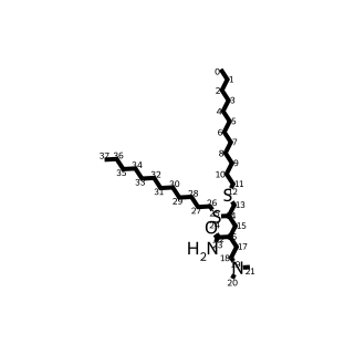 CCCCCCCCCCCCSCC(CC(CCN(C)C)C(N)=O)SCCCCCCCCCCCC